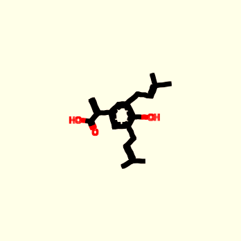 C=C(C(=O)O)c1cc(CC=C(C)C)c(O)c(CC=C(C)C)c1